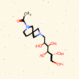 CC(=O)N1CCC2(CN(C[C@H](O)[C@@H](O)[C@H](O)[C@H](O)CO)C2)C1